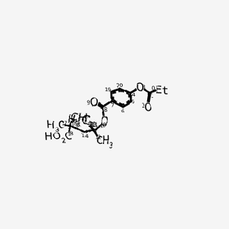 CCC(=O)Oc1ccc(C(=O)OC(C)(C)CC(C)(C)C(=O)O)cc1